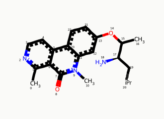 Cc1nccc2c1c(=O)n(C)c1cc(OC(C)[C@H](N)CC(C)C)ccc21